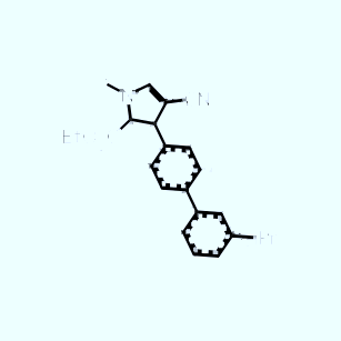 CCOC(=O)C1C(c2ccc(-c3cccc(C(C)C)c3)cc2)C(C#N)=CN1C